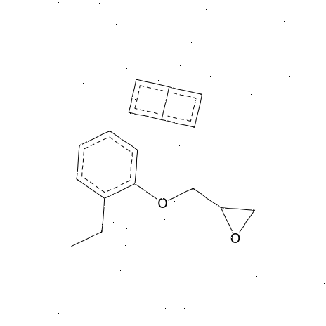 CCc1ccccc1OCC1CO1.c1cc2ccc1-2